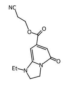 CCN1CCn2c1cc(C(=O)OCCC#N)cc2=O